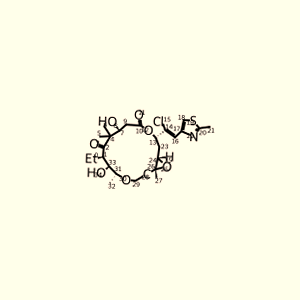 CC[C@H]1C(=O)C(C)(C)[C@@H](O)CC(=O)O[C@H](C(Cl)=Cc2csc(C)n2)C[C@@H]2O[C@]2(C)CCO[C@H](C)[C@H]1O